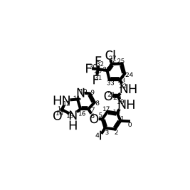 Cc1cc(I)c(Oc2ccnc3[nH]c(=O)[nH]c23)cc1NC(=O)Nc1ccc(Cl)c(C(F)(F)F)c1